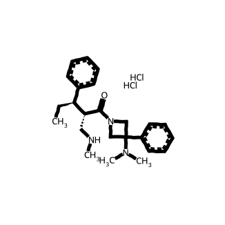 CC[C@@H](c1ccccc1)[C@@H](CNC)C(=O)N1CC(c2ccccc2)(N(C)C)C1.Cl.Cl